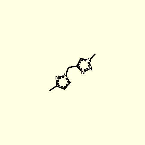 Cc1ccn(Cc2cn(C)nn2)n1